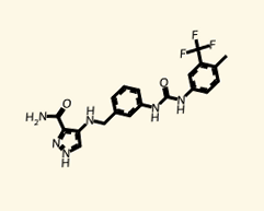 Cc1ccc(NC(=O)Nc2cccc(CNc3c[nH]nc3C(N)=O)c2)cc1C(F)(F)F